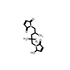 CC(CN1C(=O)C=CC1=O)CC(C)(C)CN1C(=O)C=CC1O